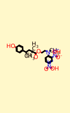 CCC(C)(CC(C)c1ccc(O)cc1)C(=O)OCCN(C)c1ccc([NH+]([O-])O)cc1[NH+]([O-])O